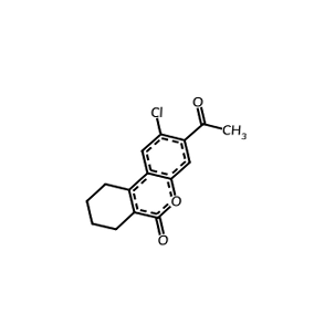 CC(=O)c1cc2oc(=O)c3c(c2cc1Cl)CCCC3